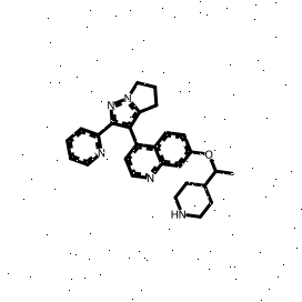 CC(Oc1ccc2c(-c3c(-c4ccccn4)nn4c3CCC4)ccnc2c1)C1CCNCC1